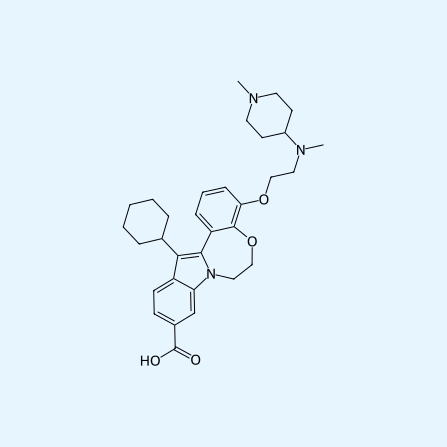 CN1CCC(N(C)CCOc2cccc3c2OCCn2c-3c(C3CCCCC3)c3ccc(C(=O)O)cc32)CC1